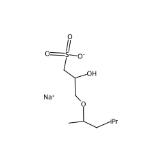 CC(C)CC(C)OCC(O)CS(=O)(=O)[O-].[Na+]